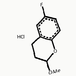 COC1CCc2cc(F)ccc2O1.Cl